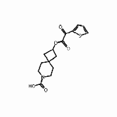 O=C(OC1CC2(CCN(C(=O)O)CC2)C1)C(=O)c1cccs1